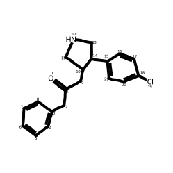 O=C(Cc1ccccc1)CC1CNCC1c1ccc(Cl)cc1